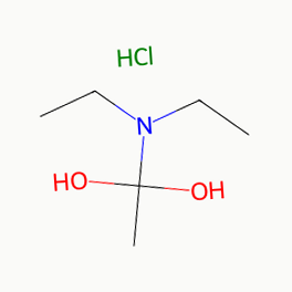 CCN(CC)C(C)(O)O.Cl